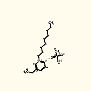 CCCCCCCCC[n+]1cccc(CC)c1.CS(=O)(=O)O